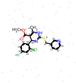 COC(=O)C1=C(C)NC(SCc2cccnc2)=NC1c1ccc(F)cc1Cl